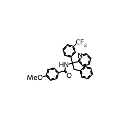 COc1ccc(C(=O)NC(Cc2ccccc2)(c2cccc(C(F)(F)F)c2)c2ccccn2)cc1